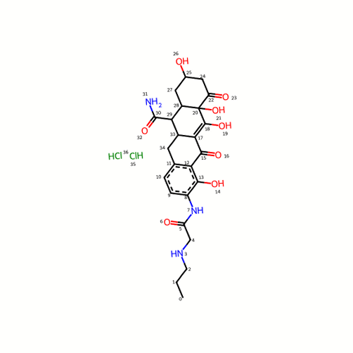 CCCNCC(=O)Nc1ccc2c(c1O)C(=O)C1=C(O)C3(O)C(=O)CC(O)CC3C(C(N)=O)C1C2.Cl.Cl